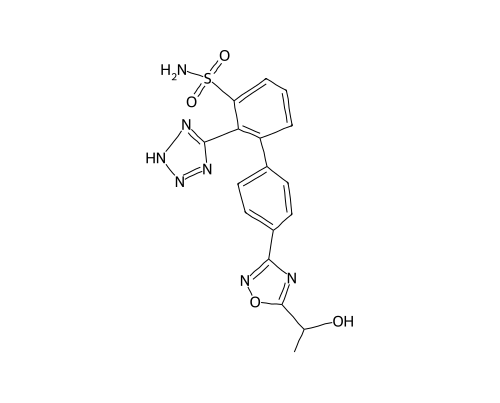 CC(O)c1nc(-c2ccc(-c3cccc(S(N)(=O)=O)c3-c3nn[nH]n3)cc2)no1